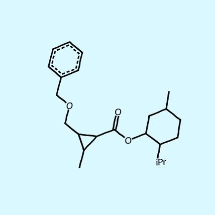 CC1CCC(C(C)C)C(OC(=O)C2C(C)C2COCc2ccccc2)C1